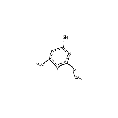 COc1nc(C)cc(S)n1